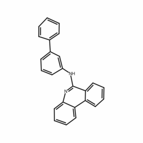 c1ccc(-c2cccc(Nc3nc4ccccc4c4ccccc34)c2)cc1